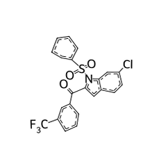 O=C(c1cccc(C(F)(F)F)c1)c1cc2ccc(Cl)cc2n1S(=O)(=O)c1ccccc1